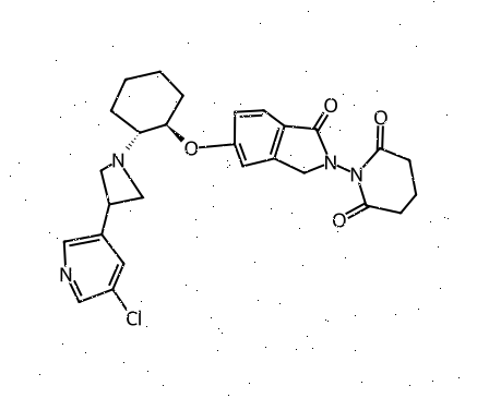 O=C1c2ccc(O[C@@H]3CCCC[C@H]3N3CC(c4cncc(Cl)c4)C3)cc2CN1N1C(=O)CCCC1=O